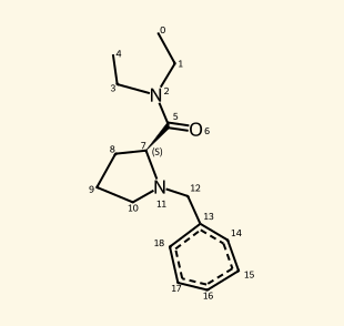 CCN(CC)C(=O)[C@@H]1CCCN1Cc1ccccc1